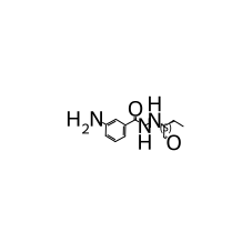 CC[C@@H](C=O)NNC(=O)c1cccc(N)c1